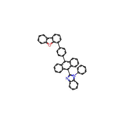 c1ccc(-n2c(-c3c4ccccc4c(-c4ccc(-c5cccc6c5oc5ccccc56)cc4)c4ccccc34)nc3ccccc32)cc1